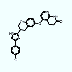 O=C1CCc2c(Oc3ccc4c(c3)CC(c3nc(-c5ccc(Cl)cc5)c[nH]3)CO4)ccnc2N1